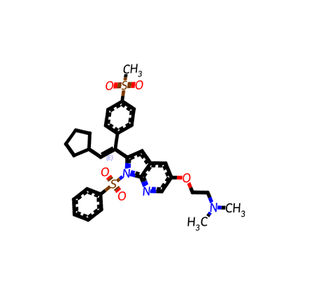 CN(C)CCOc1cnc2c(c1)cc(/C(=C/C1CCCC1)c1ccc(S(C)(=O)=O)cc1)n2S(=O)(=O)c1ccccc1